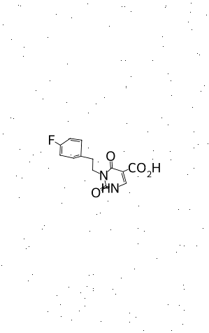 O=C(O)c1c[nH]c(=O)n(CCc2ccc(F)cc2)c1=O